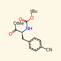 COC(=O)[C@H](Cc1ccc(C#N)cc1)NC(=O)OC(C)(C)C